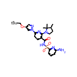 CC1CCN(c2nc(-n3cc(OCC(C)(C)C)cn3)ccc2C(=O)NS(=O)(=O)c2cccc(N)n2)C1(C)C